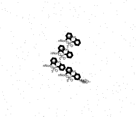 CCCCCCCCCc1ccccc1S(c1ccccc1CCCCCCCCC)=P([O-])([O-])[S-].CCCCCCCCCc1ccccc1S(c1ccccc1CCCCCCCCC)=P([O-])([O-])[S-].CCCCCCCCCc1ccccc1S(c1ccccc1CCCCCCCCC)=P([O-])([O-])[S-].CCCCCCCCCc1ccccc1S(c1ccccc1CCCCCCCCC)=P([O-])([O-])[S-].[Mo+4].[Mo+4].[Mo+4]